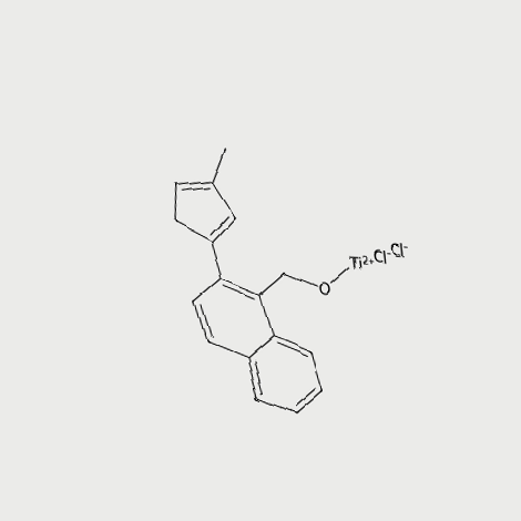 CC1=CCC(c2ccc3ccccc3c2C[O][Ti+2])=C1.[Cl-].[Cl-]